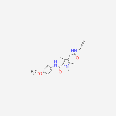 C#CCNC(=O)Cc1c(C)c(C(=O)Nc2ccc(OC(F)(F)F)cc2)n(C)c1C